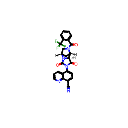 N#Cc1ccc(N2C(=O)[C@@H]3[C@@H]4C[C@@H](CN4C(=O)c4ccccc4C(F)(F)F)N3C2=O)c2cccnc12